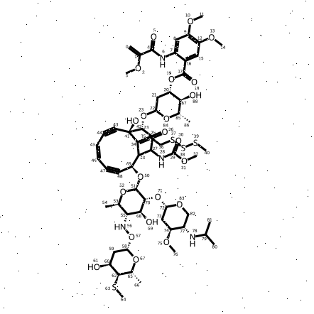 C=C(OC)C(=O)Nc1cc(OC)c(OC)cc1C(=O)O[C@H]1CC(O[C@@H]2C(=O)C(NC(=O)OC)C3/C(=C\CSSSC)[C@]2(O)C#C/C=C\C#C[C@@H]3O[C@@H]2O[C@H](C)[C@@H](NO[C@H]3C[C@H](O)[C@H](SC)[C@@H](C)O3)[C@H](O)[C@H]2O[C@H]2C[C@H](OC)[C@@H](NC(C)C)CO2)O[C@@H](C)[C@@H]1O